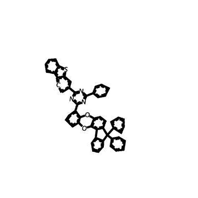 c1ccc(-c2nc(-c3ccc4c(c3)sc3ccccc34)nc(-c3cccc4c3Oc3ccc5c(c3O4)-c3ccccc3C5(c3ccccc3)c3ccccc3)n2)cc1